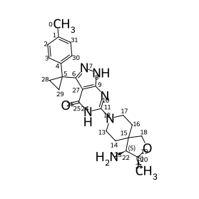 Cc1ccc(C2(c3n[nH]c4nc(N5CCC6(CC5)CO[C@@H](C)[C@H]6N)[nH]c(=O)c34)CC2)cc1